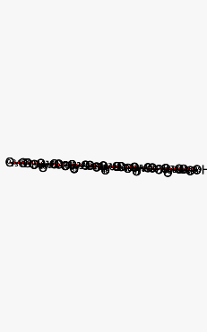 O=CCCCCOCOCCOCCOC(=O)CCCCOCOCCOCCOC(=O)CCCCOCOCCOCCOC(=O)CCCCOCOCCOCCOC(=O)CCCCOCOCCOCCOC(=O)CCCCOCOCCOCCO